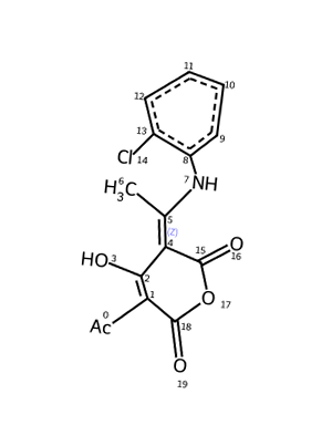 CC(=O)C1=C(O)/C(=C(\C)Nc2ccccc2Cl)C(=O)OC1=O